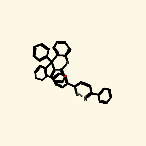 N=C(/C=C\C(N)c1ccc(C2=C(C3(c4ccccc4)c4ccccc4Oc4ccccc43)C=CCC2)cc1)c1ccccc1